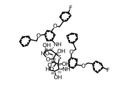 OC[C@H]1OC[C@H](O)[C@H](Nc2cc(OCc3ccccc3)cc(OCc3ccc(F)cc3)c2)[C@@]1(O)S[C@@]1(O)[C@@H](CO)OC[C@H](O)[C@@H]1Nc1cc(OCc2ccccc2)cc(OCc2ccc(F)cc2)c1